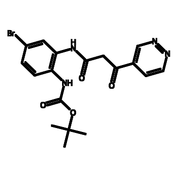 CC(C)(C)OC(=O)Nc1ccc(Br)cc1NC(=O)CC(=O)c1ccnnc1